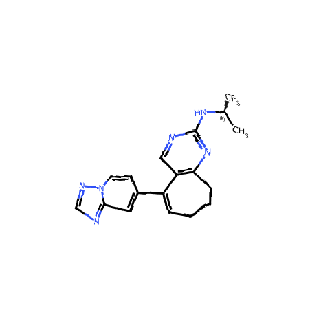 C[C@@H](Nc1ncc2c(n1)CCCC=C2c1ccn2ncnc2c1)C(F)(F)F